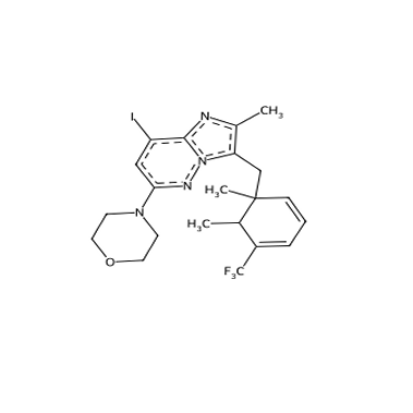 Cc1nc2c(I)cc(N3CCOCC3)nn2c1CC1(C)C=CC=C(C(F)(F)F)C1C